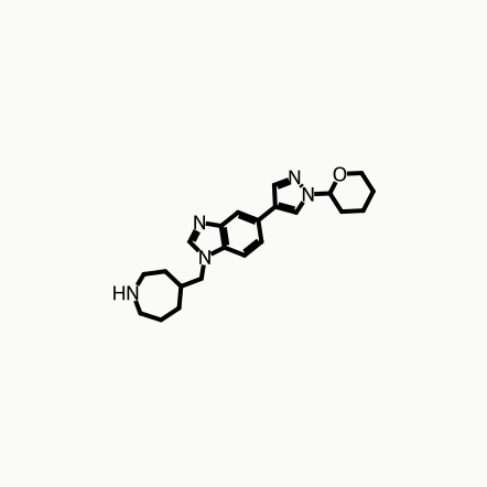 c1cc2c(cc1-c1cnn(C3CCCCO3)c1)ncn2CC1CCCNCC1